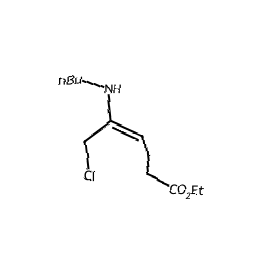 CCCCNC(=CCC(=O)OCC)CCl